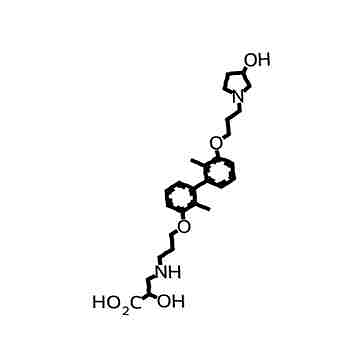 Cc1c(OCCCNCC(O)C(=O)O)cccc1-c1cccc(OCCCN2CCC(O)C2)c1C